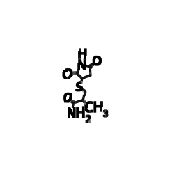 CC(CSC1CC(=O)NC1=O)C(N)=O